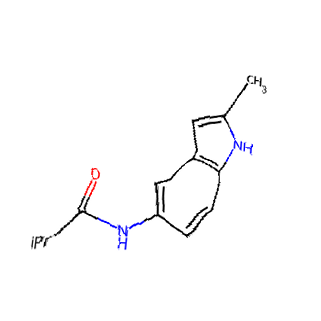 Cc1cc2cc(NC(=O)C(C)C)ccc2[nH]1